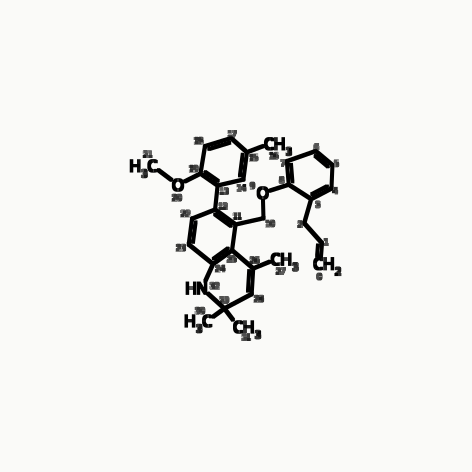 C=CCc1ccccc1OCc1c(-c2cc(C)ccc2OC)ccc2c1C(C)=CC(C)(C)N2